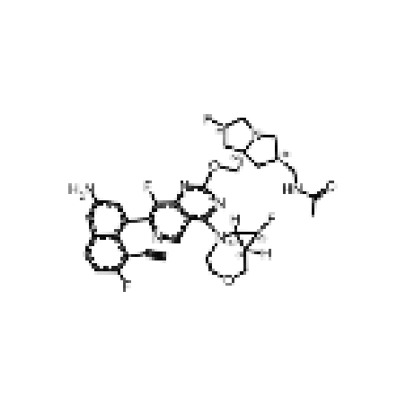 C#Cc1c(F)ccc2cc(N)cc(-c3ncc4c(N5CCOC[C@H]6[C@H](F)[C@H]65)nc(OC[C@]56C[C@@H](F)CN5C[C@@H](CNC(C)=O)C6)nc4c3F)c12